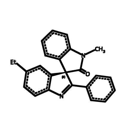 CCc1ccc2c(c1)[C@@]1(C(=O)N(C)c3ccccc31)C(c1ccccc1)=N2